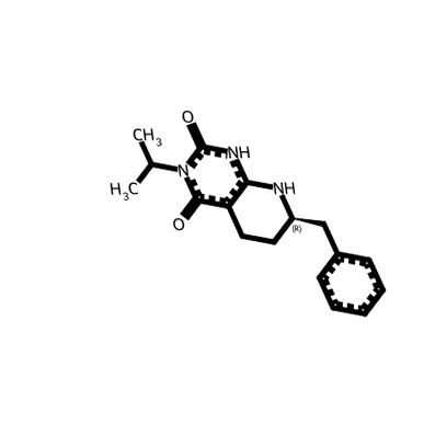 CC(C)n1c(=O)[nH]c2c(c1=O)CC[C@H](Cc1ccccc1)N2